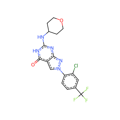 O=c1[nH]c(NC2CCOCC2)nc2nn(-c3ccc(C(F)(F)F)cc3Cl)cc12